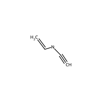 C#C[N]C=C